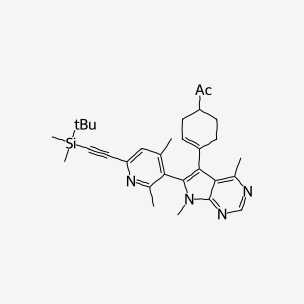 CC(=O)C1CC=C(c2c(-c3c(C)cc(C#C[Si](C)(C)C(C)(C)C)nc3C)n(C)c3ncnc(C)c23)CC1